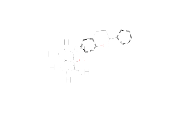 CC(C)[Si](Oc1ccc2c(c1)OC(c1ccccc1)CC2)(C(C)C)C(C)C